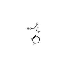 C1=NSCC1.[O-][Cl+2]([O-])O